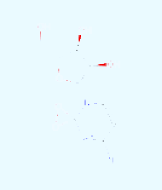 NC1=NC2(OO2)N([C@@H]2O[C@H](CO)[C@@H](O)[C@H]2O)C=C1